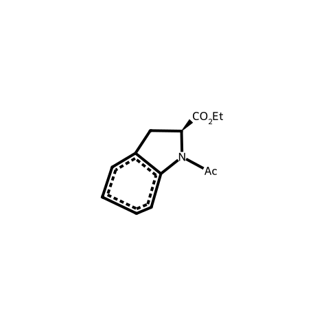 CCOC(=O)[C@@H]1Cc2ccccc2N1C(C)=O